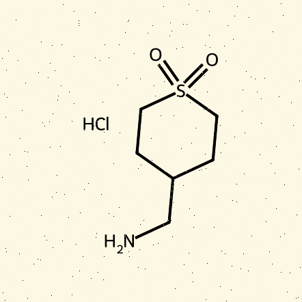 Cl.NCC1CCS(=O)(=O)CC1